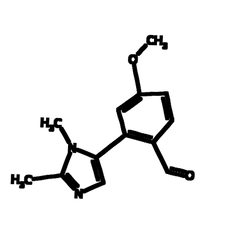 COc1ccc(C=O)c(-c2cnc(C)n2C)c1